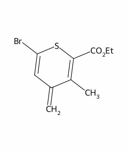 C=C1C=C(Br)SC(C(=O)OCC)=C1C